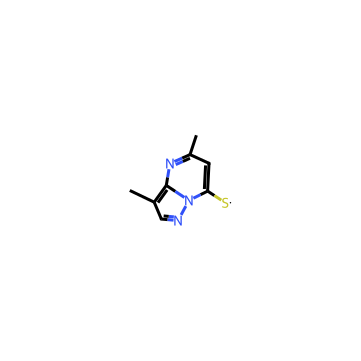 Cc1cc([S])n2ncc(C)c2n1